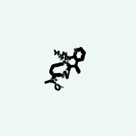 C=C(c1nccc([S+](C)[O-])n1)c1cccnc1NN